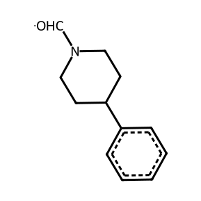 O=[C]N1CCC(c2ccccc2)CC1